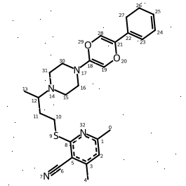 Cc1cc(C)c(C#N)c(SCCC(C)N2CCN(C3=COC(C4=CC=CCC4)=CO3)CC2)n1